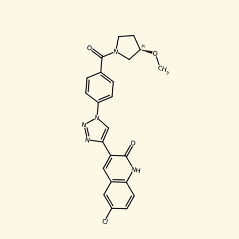 CO[C@@H]1CCN(C(=O)c2ccc(-n3cc(-c4cc5cc(Cl)ccc5[nH]c4=O)nn3)cc2)C1